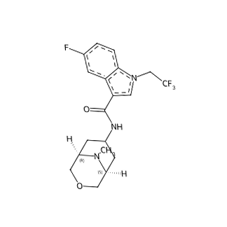 CN1[C@@H]2COC[C@H]1CC(NC(=O)c1cn(CC(F)(F)F)c3ccc(F)cc13)C2